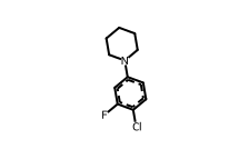 Fc1cc(N2CCCCC2)ccc1Cl